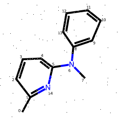 Cc1cccc(N(C)c2ccccc2)n1